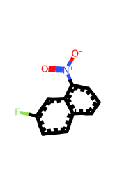 O=[N+]([O-])c1cccc2ccc(F)cc12